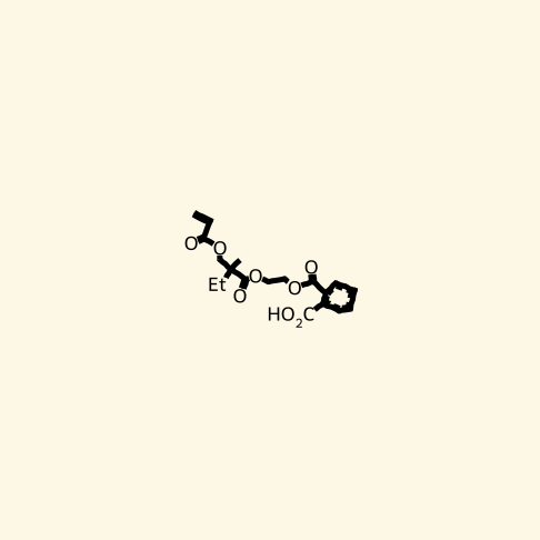 C=CC(=O)OCC(C)(CC)C(=O)OCCOC(=O)c1ccccc1C(=O)O